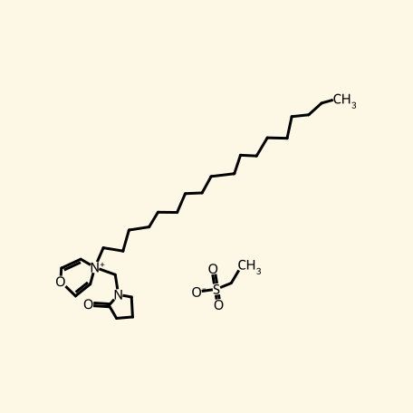 CCCCCCCCCCCCCCCCCC[N+]1(CN2CCCC2=O)C=COC=C1.CCS(=O)(=O)[O-]